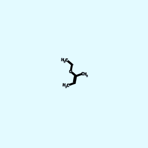 C[CH]O/C(C)=C\C